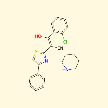 C1CCNCC1.N#CC(=C(O)c1ccccc1Cl)c1nc(-c2ccccc2)cs1